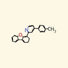 Cc1ccc(-c2ccnc(C3=c4oc5ccccc5c4=CCC3)c2)cc1